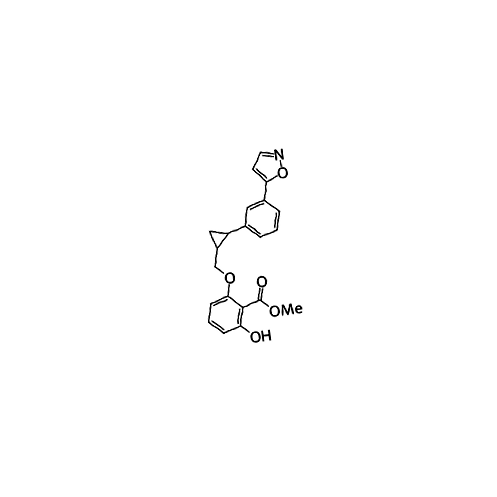 COC(=O)c1c(O)cccc1OCC1CC1c1cccc(-c2ccno2)c1